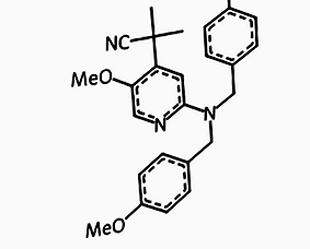 COc1ccc(CN(Cc2ccc(OC)cc2)c2cc(C(C)(C)C#N)c(OC)cn2)cc1